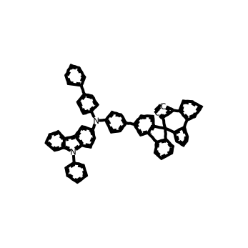 c1ccc(-c2ccc(N(c3ccc(-c4ccc5c(c4)-c4ccccc4C54c5ccccc5-c5ccccc5-c5ccccc54)cc3)c3ccc4c(c3)c3ccccc3n4-c3ccccc3)cc2)cc1